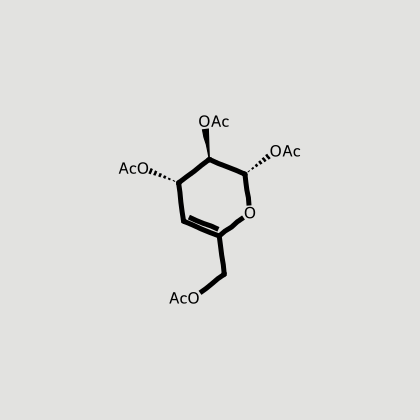 CC(=O)OCC1=C[C@H](OC(C)=O)[C@@H](OC(C)=O)[C@H](OC(C)=O)O1